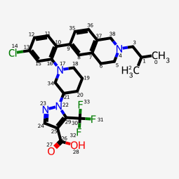 CC(C)CN1CCc2cc(-c3ccc(Cl)cc3N3CCCC(n4ncc(C(=O)O)c4C(F)(F)F)C3)ccc2C1